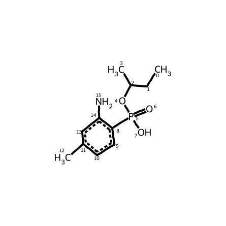 CCC(C)OP(=O)(O)c1ccc(C)cc1N